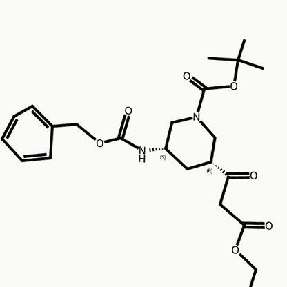 CCOC(=O)CC(=O)[C@@H]1C[C@H](NC(=O)OCc2ccccc2)CN(C(=O)OC(C)(C)C)C1